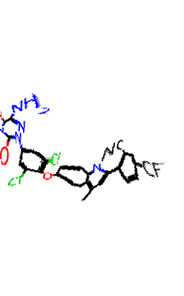 Cc1cc(-c2ccc(C(F)(F)F)cc2C#N)nc2ccc(Oc3c(Cl)cc(N4N=C(N)C(O)NC4O)cc3Cl)cc12